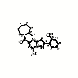 CCc1cc(C(=O)N2CCCCCC2C)nc2cc(-c3ccccc3Cl)nn12